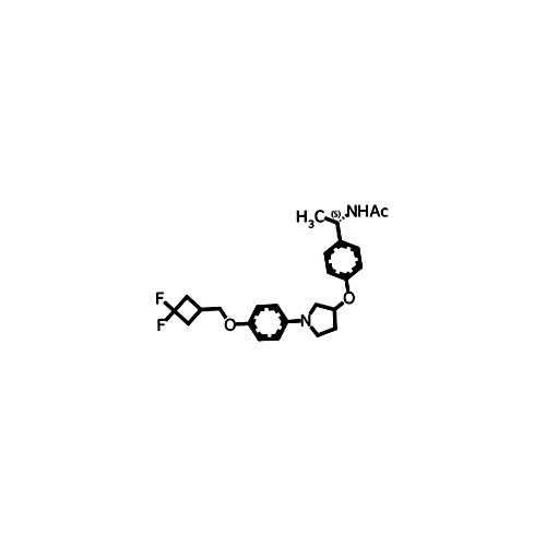 CC(=O)N[C@@H](C)c1ccc(OC2CCN(c3ccc(OCC4CC(F)(F)C4)cc3)C2)cc1